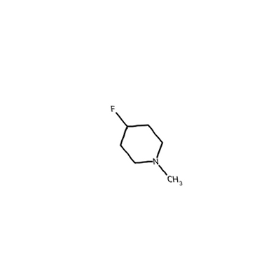 CN1CC[C](F)CC1